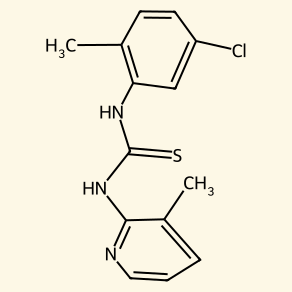 Cc1ccc(Cl)cc1NC(=S)Nc1ncccc1C